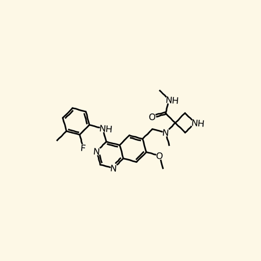 CNC(=O)C1(N(C)Cc2cc3c(Nc4cccc(C)c4F)ncnc3cc2OC)CNC1